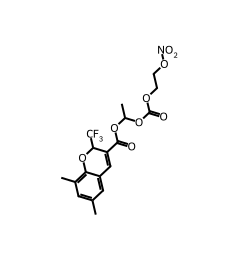 Cc1cc(C)c2c(c1)C=C(C(=O)OC(C)OC(=O)OCCO[N+](=O)[O-])C(C(F)(F)F)O2